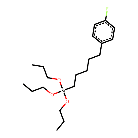 CCCO[Si](CCCCCc1ccc(F)cc1)(OCCC)OCCC